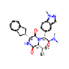 CCC(CC)[C@@H]1C(=O)N[C@H](C2Cc3ccccc3C2)C(=O)N1[C@@H](C(=O)N(C)C)c1ccc2c(cnn2C)c1